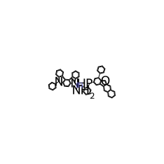 N/C(=C\c1ccccc1Pc1cc(-c2ccccc2)c2oc3cc4ccccc4cc3c2c1)n1c2ccccc2c2c3c4ccccc4n(-c4ccccc4)c3ccc21